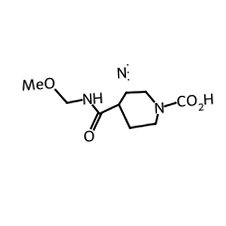 COCNC(=O)C1CCN(C(=O)O)CC1.[N]